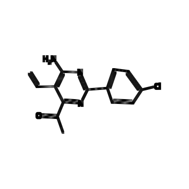 C=Cc1c(N)nc(-c2ccc(Cl)cc2)nc1C(C)=O